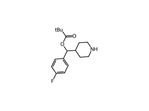 CC(C)(C)C(=O)OC(c1ccc(F)cc1)C1CCNCC1